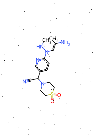 CNN(/C=C(\C)N)c1ccc(C(C#N)N2CCS(=O)(=O)CC2)cn1